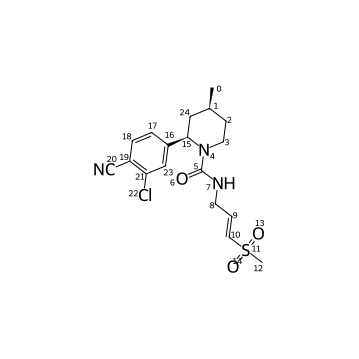 C[C@H]1CCN(C(=O)NC/C=C/S(C)(=O)=O)[C@@H](c2ccc(C#N)c(Cl)c2)C1